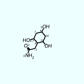 NC(=O)CC1C(O)CC(O)CC1O